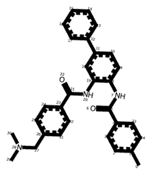 Cc1ccc(C(=O)Nc2ccc(-c3ccccc3)cc2NC(=O)c2ccc(CN(C)C)cc2)cc1